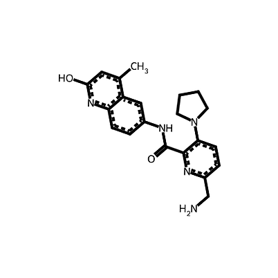 Cc1cc(O)nc2ccc(NC(=O)c3nc(CN)ccc3N3CCCC3)cc12